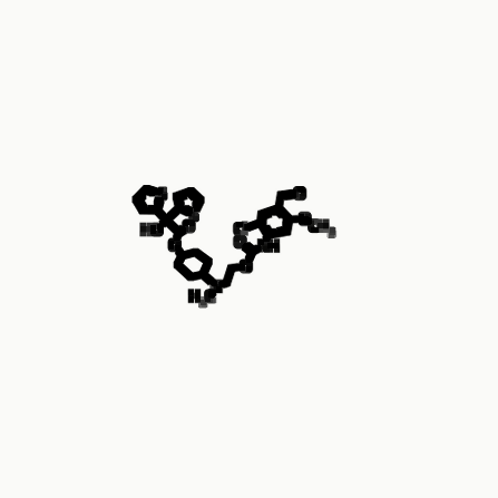 COc1cc(NC(=O)OCCN(C)C2CCC(OC(=O)C(O)(c3cccs3)c3cccs3)CC2)c(Cl)cc1C=O